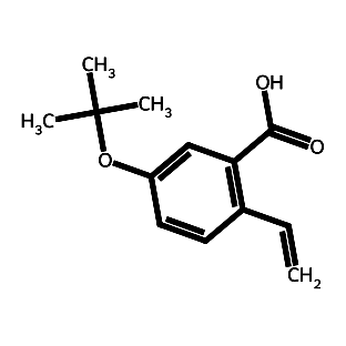 C=Cc1ccc(OC(C)(C)C)cc1C(=O)O